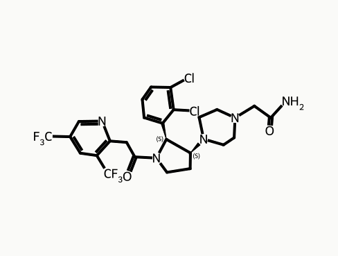 NC(=O)CN1CCN([C@H]2CCN(C(=O)Cc3ncc(C(F)(F)F)cc3C(F)(F)F)[C@H]2c2cccc(Cl)c2Cl)CC1